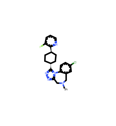 CC(C)N1Cc2cc(Cl)ccc2-n2c(nnc2[C@H]2CC[C@H](c3ncccc3F)CC2)C1